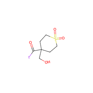 O=C(I)C1(CO)CCS(=O)(=O)CC1